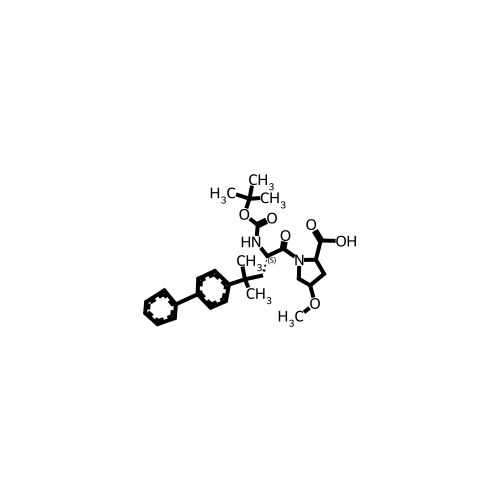 COC1CC(C(=O)O)N(C(=O)[C@H](CC(C)(C)c2ccc(-c3ccccc3)cc2)NC(=O)OC(C)(C)C)C1